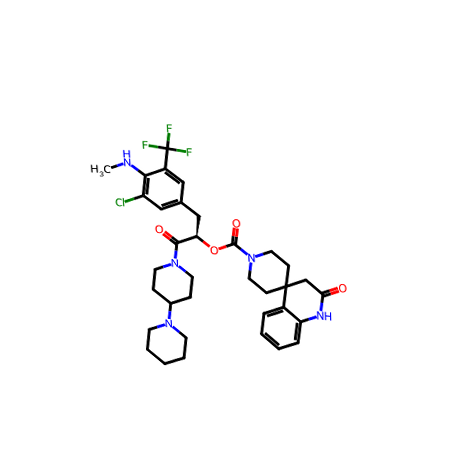 CNc1c(Cl)cc(C[C@@H](OC(=O)N2CCC3(CC2)CC(=O)Nc2ccccc23)C(=O)N2CCC(N3CCCCC3)CC2)cc1C(F)(F)F